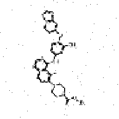 Cc1cc(Nc2ncnc3ccc(N4CCN(C(=O)OC(C)(C)C)CC4)c(F)c23)ccc1Oc1ccn2ncnc2c1